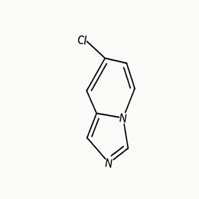 Clc1ccn2cncc2c1